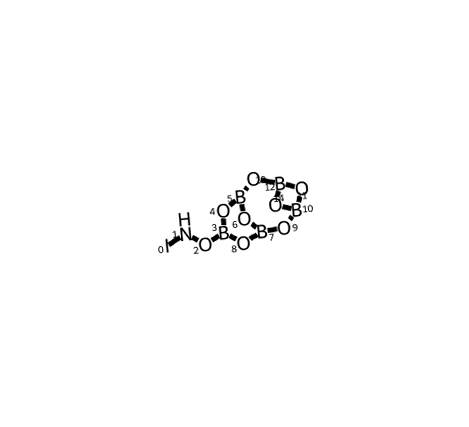 INOB1OB2OB(O1)OB1OB(O2)O1